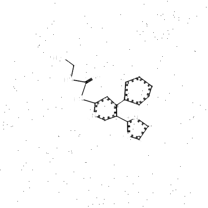 CCNC(=O)Nc1cc(-c2ccccc2)c(-c2nccs2)cn1